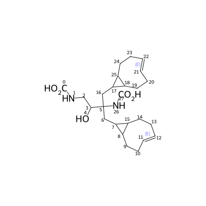 O=C(O)NCC(O)C(CC1C2CC/C=C/CCC21)(CC1C2CC/C=C/CCC21)NC(=O)O